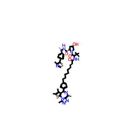 Cc1ncsc1-c1ccc([C@H](C)NC(=O)[C@@H]2C[C@@H](O)CN2C(=O)C(NC(=O)CCCCCCCCc2ccc(C3=N[C@@H](C)c4nnc(C)n4-c4sc(C)c(C)c43)cc2)C(C)(C)C)cc1